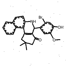 COc1cc(C2Nc3ccc4ccccc4c3C3=C2C(=O)CC(C)(C)C3)c(Br)cc1O